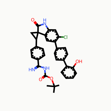 CC(C)(C)OC(=O)NC(=N)c1ccc(C2CC23C(=O)Nc2cc(Cl)c(-c4ccc(-c5ccccc5O)cc4)cc23)cc1